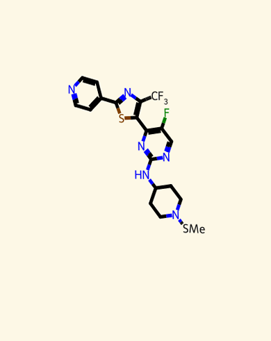 CSN1CCC(Nc2ncc(F)c(-c3sc(-c4ccncc4)nc3C(F)(F)F)n2)CC1